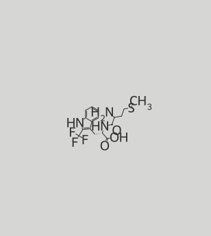 CSCC[C@H](N)C(=O)N[C@@H](Cc1c(C(F)(F)F)[nH]c2ccccc12)C(=O)O